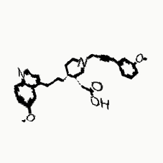 COc1cccc(C#CCN2CC[C@@H](CCCc3ccnc4ccc(OC)cc34)[C@@H](CC(=O)O)C2)c1